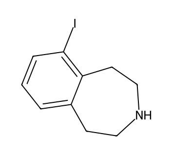 Ic1cccc2c1CCNCC2